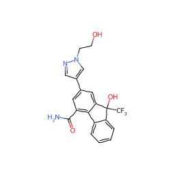 NC(=O)c1cc(-c2cnn(CCO)c2)cc2c1-c1ccccc1C2(O)C(F)(F)F